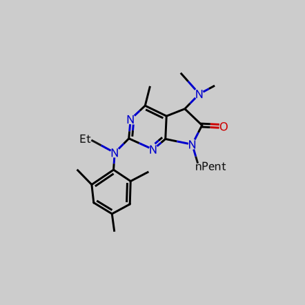 CCCCCN1C(=O)C(N(C)C)c2c(C)nc(N(CC)c3c(C)cc(C)cc3C)nc21